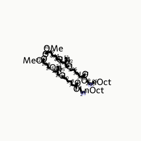 CCCCCCCC/C=C\COC(=O)CCCCCOCC(COCCCC(=O)OC)N(C)C.CCCCCCCC/C=C\COC(=O)CCCCCOCC(COCCCCC(=O)OC)N(C)C